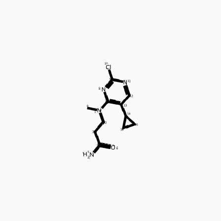 CN(CCC(N)=O)c1nc(Cl)ncc1C1CC1